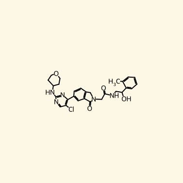 Cc1ccccc1C(O)CNC(=O)CN1Cc2ccc(-c3nc(NC4CCOCC4)ncc3Cl)cc2C1=O